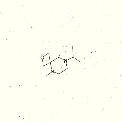 CC(I)N1CCN(C)C2(COC2)C1